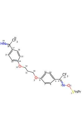 CCCSO/N=C(/c1ccc(OCCCOc2ccc(C(=N)C(F)(F)F)cc2)cc1)C(F)(F)F